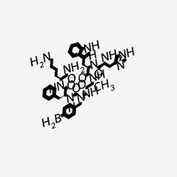 Bc1ccc(CN(NC(=O)[C@H](C)NC(=O)[C@@H](Cc2c[nH]c3ccccc23)NC(=O)[C@@H](N)Cc2c[nH]cn2)C(=O)N[C@H](Cc2ccccc2)C(=O)N[C@@H](CCCCN)C(N)=O)cc1